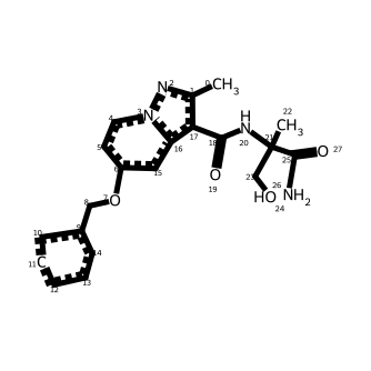 Cc1nn2ccc(OCc3ccccc3)cc2c1C(=O)NC(C)(CO)C(N)=O